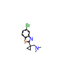 CN(C)CC1(c2nc3cc(Br)ccc3s2)CC1